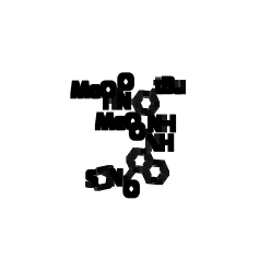 COC(=O)Nc1cc(C(C)(C)C)cc(NC(=O)Nc2ccc(C(=O)N3CC4CC3CS4)c3ccccc23)c1OC